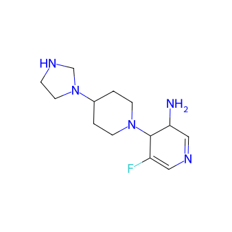 NC1C=NC=C(F)C1N1CCC(N2CCNC2)CC1